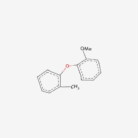 COc1ccccc1Oc1ccccc1C